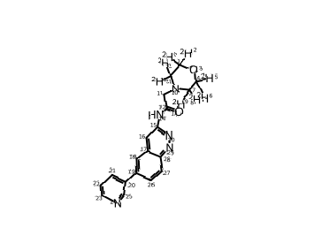 [2H]C1([2H])OC([2H])([2H])C([2H])([2H])N(CC(=O)Nc2cc3cc(-c4cccnc4)ccc3nn2)C1([2H])[2H]